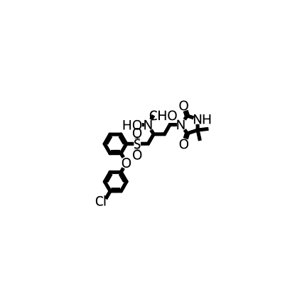 CC1(C)NC(=O)N(CCC(CS(=O)(=O)c2ccccc2Oc2ccc(Cl)cc2)N(O)C=O)C1=O